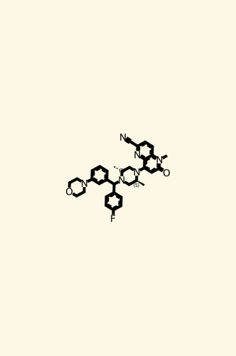 C[C@@H]1CN(c2cc(=O)n(C)c3ccc(C#N)nc23)[C@@H](C)CN1C(c1ccc(F)cc1)c1cccc(N2CCOCC2)c1